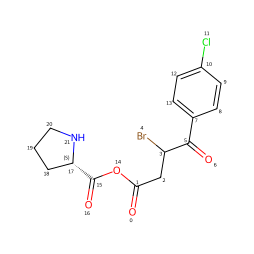 O=C(CC(Br)C(=O)c1ccc(Cl)cc1)OC(=O)[C@@H]1CCCN1